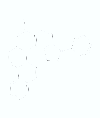 O=[N+]([O-])c1ccc2c(c1-c1cccc3c1ccc1ccccc13)CNN2c1ccccc1